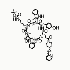 C[C@@H](O)[C@@H]1NC(=O)[C@H](CCCCNC(=O)OC(C)(C)C)NC(=O)[C@@H](Cc2c[nH]c3ccccc23)NC(=O)[C@H](Cc2ccc(O)cc2)NC(=O)[C@H](CCC(=O)N2CCC(SSc3ccccn3)CC2)N(C)C(=O)[C@H](Cc2ccccc2)NC1=O